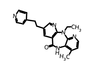 CCN1c2ncc(CCc3ccncc3)cc2C(=O)Nc2c(C)ccnc21